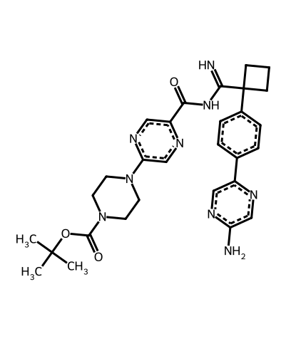 CC(C)(C)OC(=O)N1CCN(c2cnc(C(=O)NC(=N)C3(c4ccc(-c5cnc(N)cn5)cc4)CCC3)cn2)CC1